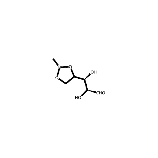 CB1OCC([C@@H](O)[C@H](O)C=O)O1